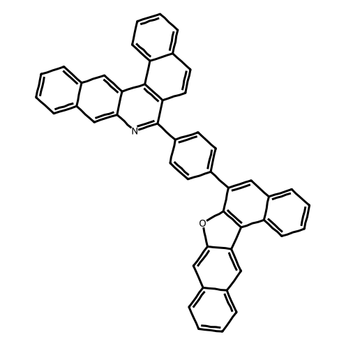 c1ccc2cc3c(cc2c1)nc(-c1ccc(-c2cc4ccccc4c4c2oc2cc5ccccc5cc24)cc1)c1ccc2ccccc2c13